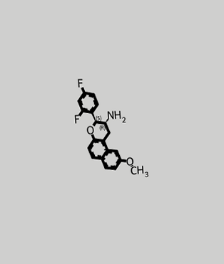 COc1ccc2ccc3c(c2c1)C[C@@H](N)[C@H](c1ccc(F)cc1F)O3